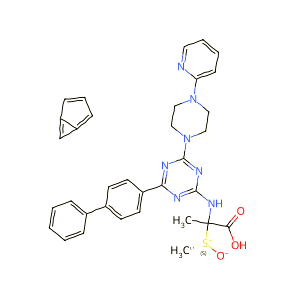 C[S@@+]([O-])C(C)(Nc1nc(-c2ccc(-c3ccccc3)cc2)nc(N2CCN(c3ccccn3)CC2)n1)C(=O)O.c1cc2cc-2c1